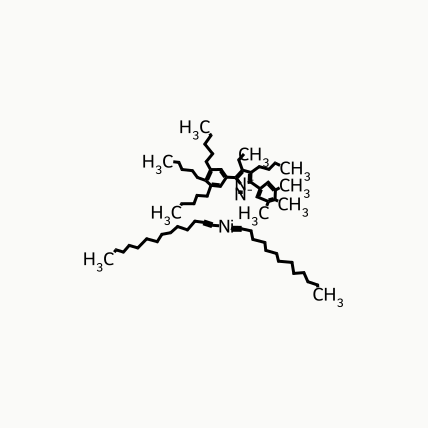 CCCCCCCCCCCCC#[C][Ni][C]#CCCCCCCCCCCCC.CCCCCc1cc(C2=C(CC)C(CCCC)=C(c3cc(C)c(C)c(C)c3)[N+]2=[N-])cc(CCCCC)c1CCCCC